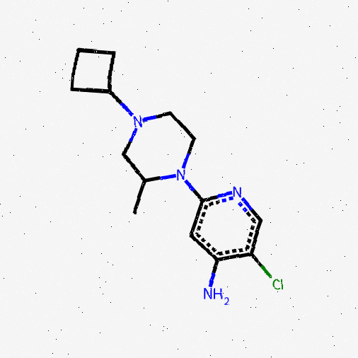 CC1CN(C2CCC2)CCN1c1cc(N)c(Cl)cn1